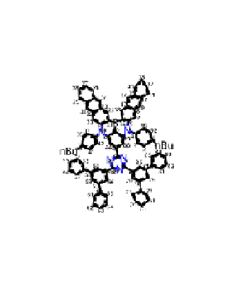 CCCCc1ccc(N2c3cc4cc5ccccc5cc4cc3B3c4cc5cc6ccccc6cc5cc4N(c4ccc(CCCC)cc4)c4cc(-c5nc(-c6cc(-c7ccccc7)cc(-c7ccccc7)c6)nc(-c6cc(-c7ccccc7)cc(-c7ccccc7)c6)n5)cc2c43)cc1